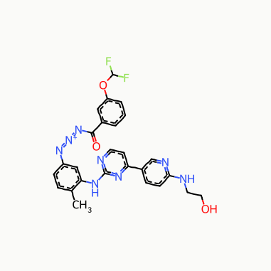 Cc1ccc(N=[N+]=NC(=O)c2cccc(OC(F)F)c2)cc1Nc1nccc(-c2ccc(NCCO)nc2)n1